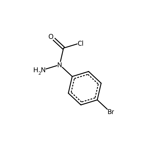 NN(C(=O)Cl)c1ccc(Br)cc1